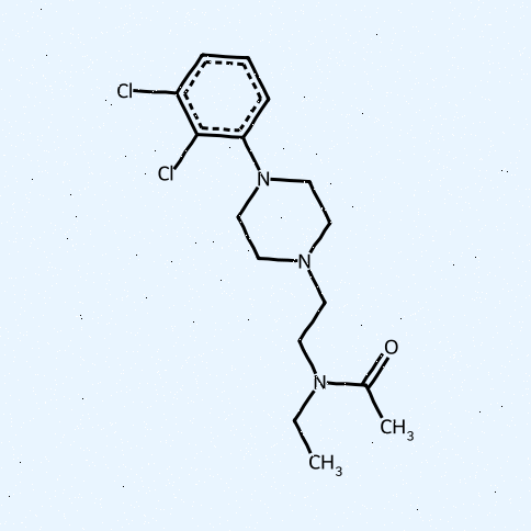 CCN(CCN1CCN(c2cccc(Cl)c2Cl)CC1)C(C)=O